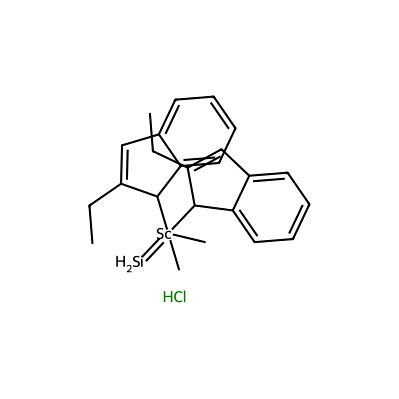 CCC1=Cc2ccccc2[CH]1[Sc]([CH3])([CH3])(=[SiH2])[CH]1C(CC)=Cc2ccccc21.Cl